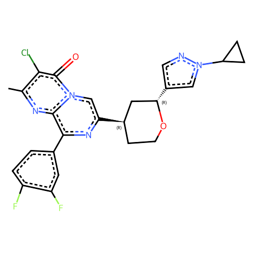 Cc1nc2c(-c3ccc(F)c(F)c3)nc([C@@H]3CCO[C@@H](c4cnn(C5CC5)c4)C3)cn2c(=O)c1Cl